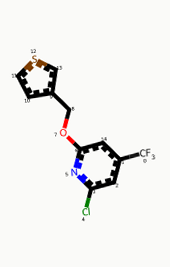 FC(F)(F)c1cc(Cl)nc(OCc2ccsc2)c1